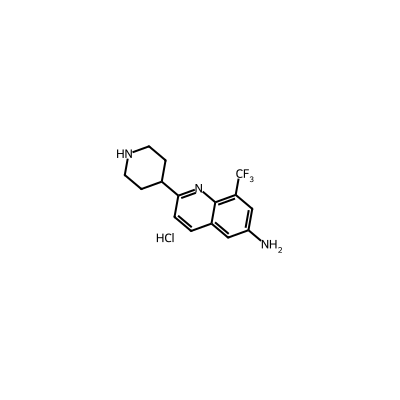 Cl.Nc1cc(C(F)(F)F)c2nc(C3CCNCC3)ccc2c1